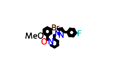 COc1ccc(Br)cc1C(=O)N1CCCCC1Cn1ccc(-c2ccc(F)cc2)n1